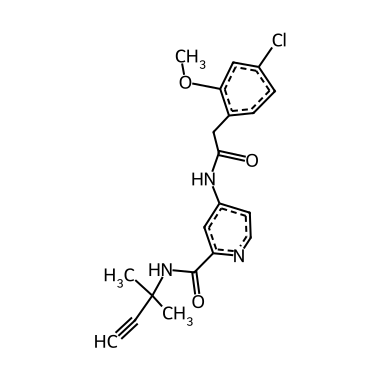 C#CC(C)(C)NC(=O)c1cc(NC(=O)Cc2ccc(Cl)cc2OC)ccn1